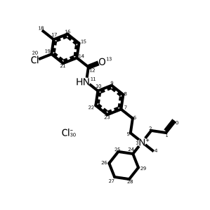 C=CC[N+](C)(CCc1ccc(NC(=O)c2ccc(C)c(Cl)c2)cc1)C1CCCCC1.[Cl-]